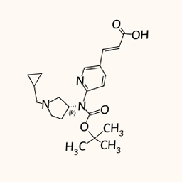 CC(C)(C)OC(=O)N(c1ccc(C=CC(=O)O)cn1)[C@@H]1CCN(CC2CC2)C1